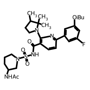 CC(=O)NC1CCCN(S(=O)(=O)NC(=O)c2ccc(-c3cc(F)cc(OCC(C)C)c3)nc2N2CCC(C)C2(C)C)C1